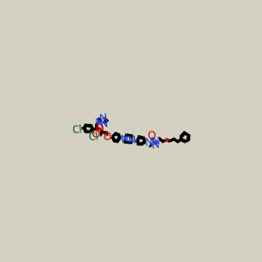 O=c1n(-c2ccc(N3CCN(c4ccc(OCC5COC(Cn6cncn6)(c6ccc(Cl)cc6Cl)O5)cc4)CC3)cc2)cnn1CCCCCCc1ccccc1